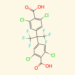 O=C(O)c1c(Cl)cc(C(c2cc(Cl)c(C(=O)O)c(Cl)c2)(C(F)(F)F)C(F)(F)F)cc1Cl